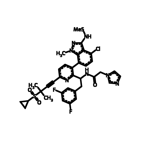 CSNc1nn(C)c2c(-c3ccc(C#CC(C)(C)S(=O)(=O)C4CC4)nc3C(Cc3cc(F)cc(F)c3)NC(=O)Cn3ccnc3)ccc(Cl)c12